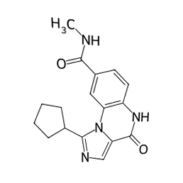 CNC(=O)c1ccc2[nH]c(=O)c3cnc(C4CCCC4)n3c2c1